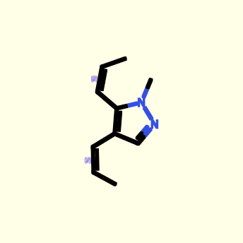 C/C=C\c1cnn(C)c1/C=C\C